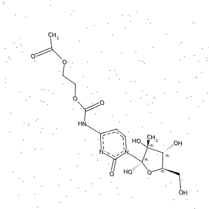 CC(=O)OCCOC(=O)Nc1ccn([C@]2(O)O[C@H](CO)[C@@H](O)[C@@]2(C)O)c(=O)n1